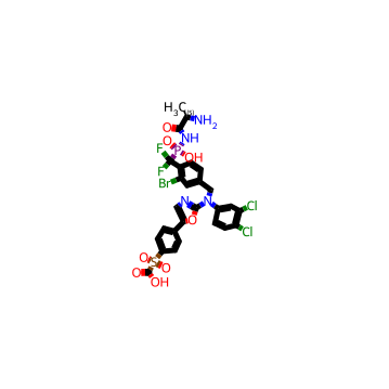 C[C@H](N)C(=O)NP(=O)(O)C(F)(F)c1ccc(CN(c2ccc(Cl)c(Cl)c2)c2ncc(-c3ccc(S(=O)(=O)C(=O)O)cc3)o2)cc1Br